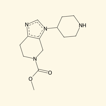 COC(=O)N1CCc2ncn(C3CCNCC3)c2C1